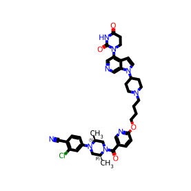 C[C@@H]1CN(c2ccc(C#N)c(Cl)c2)[C@@H](C)CN1C(=O)c1ccc(OCCCCN2CCC(n3ccc4c(N5CCC(=O)NC5=O)cncc43)CC2)nc1